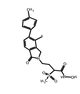 Cc1ccc(-c2ccc3c(c2F)CN(CCC(C(=O)NO)S(C)(=O)=O)C3=O)cc1